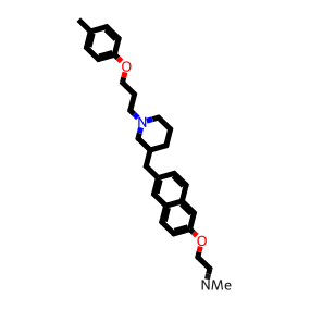 CNCCOc1ccc2cc(CC3CCCN(CCCOc4ccc(C)cc4)C3)ccc2c1